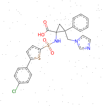 O=C(O)C1(NS(=O)(=O)c2ccc(-c3ccc(Cl)cc3)s2)CC1(Cn1ccnc1)c1ccccc1